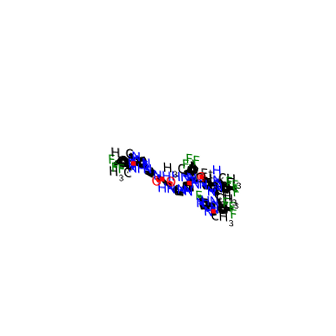 CCOc1cc2c(N[C@H](C)c3cccc(C(F)F)c3F)nc(C)nc2cn1.Cc1nc(N[C@H](C)c2cccc(C(F)F)c2F)c2cc(F)ncc2n1.Cc1nc(N[C@H](C)c2cccc(C(F)F)c2F)c2cc(N3CC[C@@H](NC(=O)CCC(=O)N[C@H]4CCN(c5cc6c(N[C@H](C)c7cccc(C(F)F)c7F)nc(C)nc6cn5)C4)C3)ncc2n1